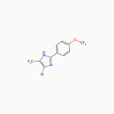 FC(F)(F)Oc1ccc(-c2nc(Br)c(C(F)(F)F)[nH]2)cc1